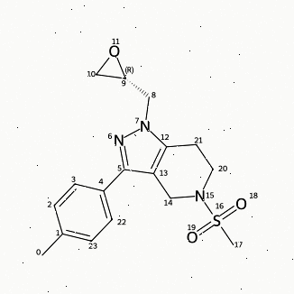 Cc1ccc(-c2nn(C[C@@H]3CO3)c3c2CN(S(C)(=O)=O)CC3)cc1